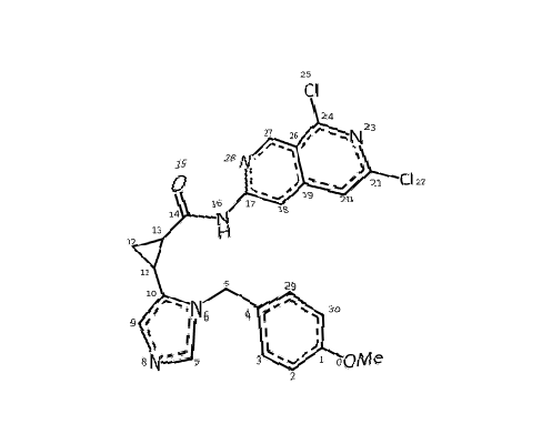 COc1ccc(Cn2cncc2C2CC2C(=O)Nc2cc3cc(Cl)nc(Cl)c3cn2)cc1